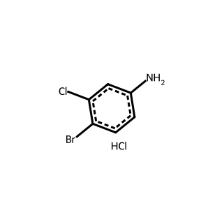 Cl.Nc1ccc(Br)c(Cl)c1